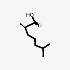 CC(C)CCC[C@@H](C)C(=O)O